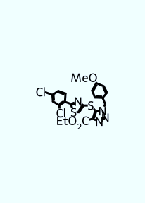 CCOC(=O)c1nnn(Cc2ccc(OC)cc2)c1Sc1csc(-c2ccc(Cl)cc2Cl)n1